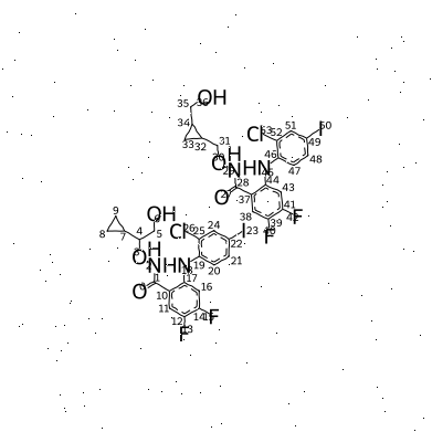 O=C(NOC(CO)C1CC1)c1cc(F)c(F)cc1Nc1ccc(I)cc1Cl.O=C(NOCC1CC1CO)c1cc(F)c(F)cc1Nc1ccc(I)cc1Cl